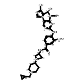 CC[C@@H]1c2c(C#N)ncn2-c2cnc(Nc3ccc(C(=O)NC4CN(C5CCN(CC6CC6)CC5)C4)cc3OC)nc2N1C(C)C